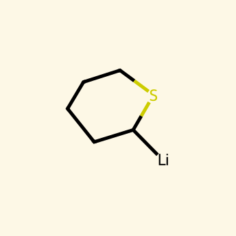 [Li][CH]1CCCCS1